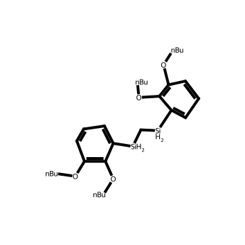 CCCCOc1cccc([SiH2]C[SiH2]c2cccc(OCCCC)c2OCCCC)c1OCCCC